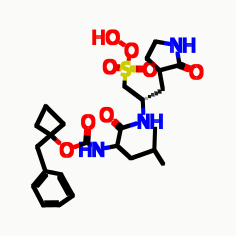 CC(C)CC(NC(=O)OC1(Cc2ccccc2)CCC1)C(=O)N[C@@H](CC1CCNC1=O)CS(=O)(=O)OO